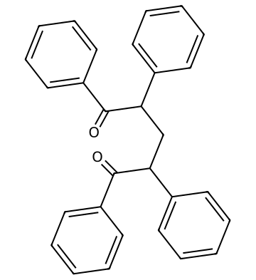 O=C(c1ccccc1)C(CC(C(=O)c1ccccc1)c1ccccc1)c1ccccc1